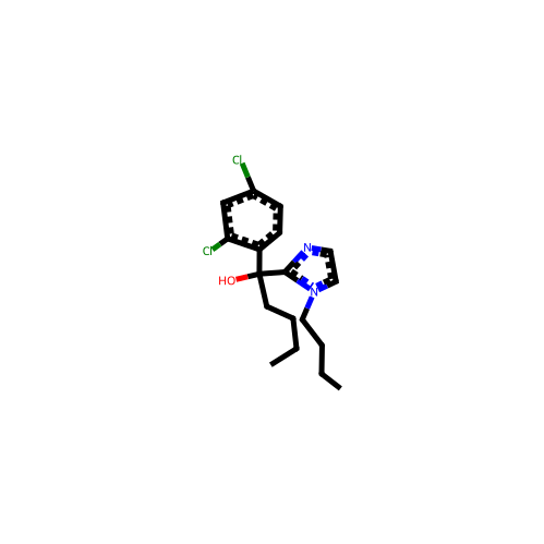 CCCCn1ccnc1C(O)(CCCC)c1ccc(Cl)cc1Cl